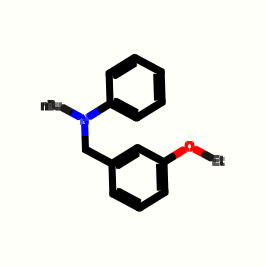 CCCCN(Cc1cccc(OCC)c1)c1ccccc1